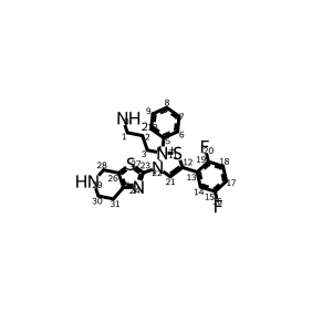 NCCC[N+]1(c2ccccc2)SC(c2cc(F)ccc2F)=CN1c1nc2c(s1)CNCC2